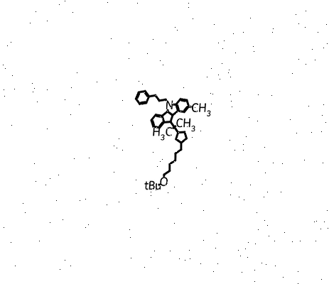 Cc1ccc2c(c1)C1C(c3ccccc3C1C(C)(C)C1CCC(CCCCCCOC(C)(C)C)C1)N2CCCc1ccccc1